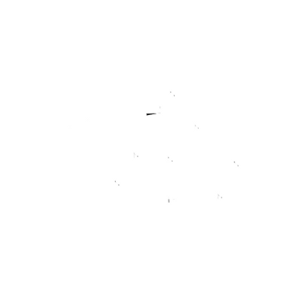 CC(C)c1cnc(-c2ccc(F)cc2)nc1Nc1ccnc2[nH]cc(N3CCN[C@H](C)C3)c12